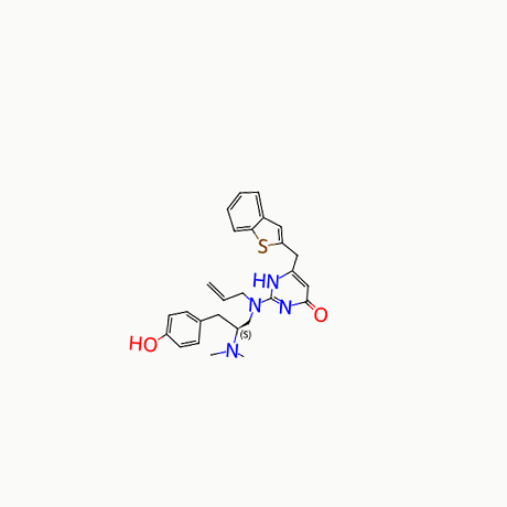 C=CCN(C[C@H](Cc1ccc(O)cc1)N(C)C)c1nc(=O)cc(Cc2cc3ccccc3s2)[nH]1